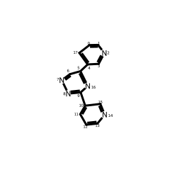 c1cncc(-c2cnnc(-c3cccnc3)n2)c1